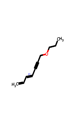 C=C/C=C/C#CCOCCC